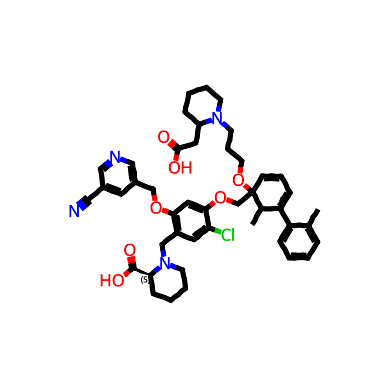 Cc1ccccc1C1=CC=CC(COc2cc(OCc3cncc(C#N)c3)c(CN3CCCC[C@H]3C(=O)O)cc2Cl)(OCCCN2CCCCC2CC(=O)O)C1C